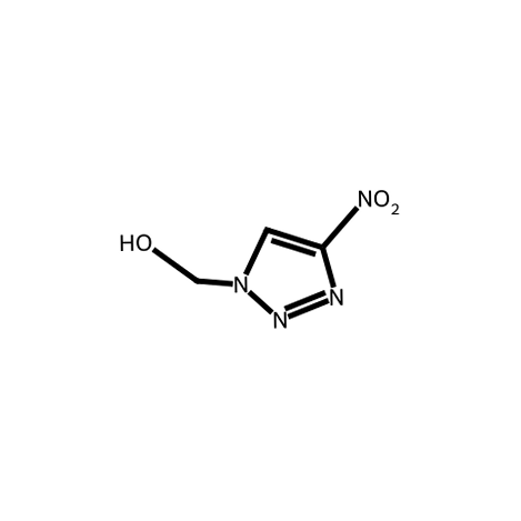 O=[N+]([O-])c1cn(CO)nn1